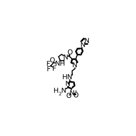 Nc1nc(NCCCn2cc(C(=O)N3CCC(NC(=O)C(F)(F)F)C3)c(-c3ccc(-n4ccnc4)cc3)c2)ccc1[N+](=O)[O-]